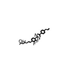 C=CCc1ccc(-c2cnc(-c3ccc(/C=C/CCCC(C)O)c(F)c3F)nc2)cc1